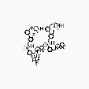 C[C@H]1CN(Cc2cccc(-c3cc(CNC(=O)c4cccc(CN5CCC6(CCC[N+]6(C)C)C5)c4)ccc3F)c2)CCN1.C[C@H]1CN(Cc2cccc(-c3cc(CNC(=O)c4cccc(CN5CCC6(CCC[N+]6(C)C)C5)c4)ccc3F)c2)CCN1.O=C([O-])C(F)(F)F.[I-]